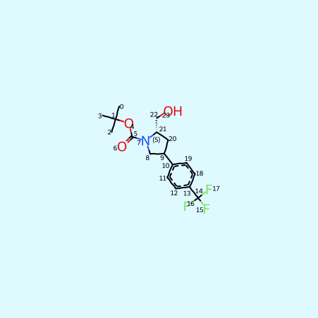 CC(C)(C)OC(=O)N1CC(c2ccc(C(F)(F)F)cc2)C[C@H]1CO